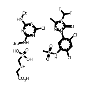 CCNc1nc(Cl)nc(NC(C)(C)C)n1.Cc1nn(-c2cc(NS(C)(=O)=O)c(Cl)cc2Cl)c(=O)n1C(F)F.O=C(O)CNCP(=O)(O)O